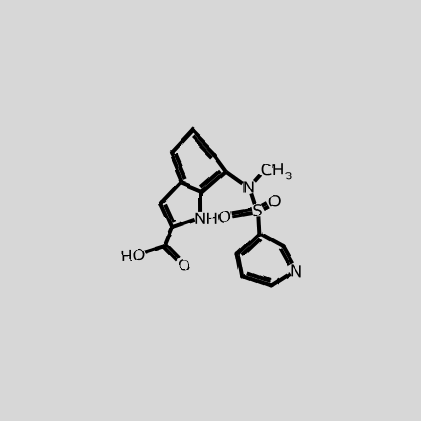 CN(c1cccc2cc(C(=O)O)[nH]c12)S(=O)(=O)c1cccnc1